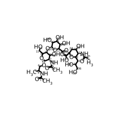 CC(=O)NC(C)CO[C@@H]1OC(CO)[C@@H](O[C@@H]2OC(CO[C@]3(C(=O)O)C[C@@H](O)[C@@H](NC(C)=O)C(C[C@H](O)CO)O3)[C@H](O)C(O)[C@@H]2O)C(O)[C@@H]1NC(C)=O